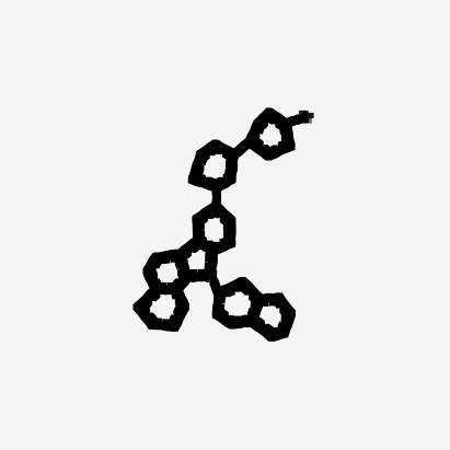 Brc1ccc(-c2cccc(-c3ccc4c(c3)c3ccc5ccccc5c3n4-c3ccc4ccccc4c3)c2)cc1